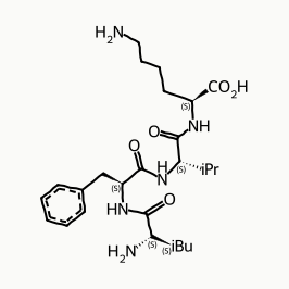 CC[C@H](C)[C@H](N)C(=O)N[C@@H](Cc1ccccc1)C(=O)N[C@H](C(=O)N[C@@H](CCCCN)C(=O)O)C(C)C